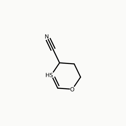 N#CC1CCOC=[SH]1